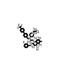 [2H]C1=C(SCc2cccc(F)c2F)N(CC(=O)N(Cc2ccc(-c3ccc(C(F)(F)F)cc3)cc2)C2CCN(CC([2H])([2H])OC)CC2)c2c([2H])c([2H])c(C)c([2H])c2C1O